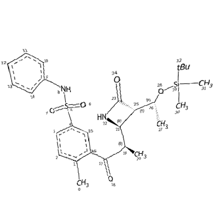 Cc1ccc(S(=O)(=O)Nc2ccccc2)cc1C(=O)[C@H](C)[C@H]1NC(=O)[C@@H]1[C@@H](C)O[Si](C)(C)C(C)(C)C